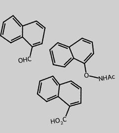 CC(=O)NOc1cccc2ccccc12.O=C(O)c1cccc2ccccc12.O=Cc1cccc2ccccc12